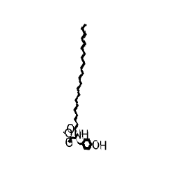 CCCCCCCCCCCCCCCCCCCCCC(=O)N[C@@H](Cc1ccc(O)cc1)C(=O)OC